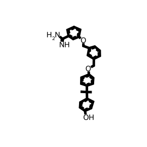 CC(C)(c1ccc(O)cc1)c1ccc(OCc2cccc(COc3cccc(C(=N)N)c3)c2)cc1